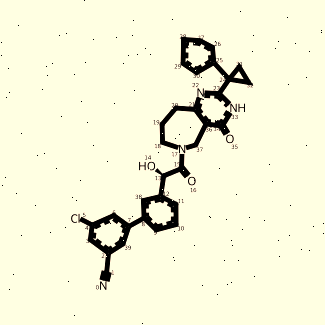 N#Cc1cc(Cl)cc(-c2cccc([C@@H](O)C(=O)N3CCCc4nc(C5(c6ccccc6)CC5)[nH]c(=O)c4C3)c2)c1